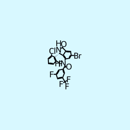 O=C(Nc1cc(Br)cc2c1[C@H](c1c(F)cccc1Cl)NC2=O)c1cc(F)cc(C(F)(F)F)c1